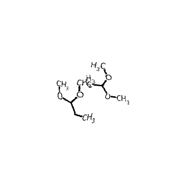 CCC(OC)OC.COC(C)OC